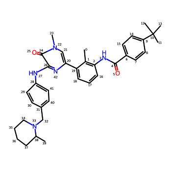 Cc1c(NC(=O)c2ccc(C(C)(C)C)cc2)cccc1-c1cn(C)c(=O)c(Nc2ccc(CN3CCCCC3C)cc2)n1